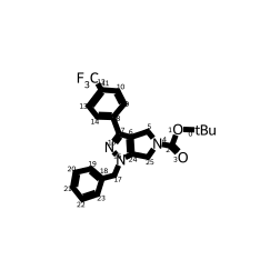 CC(C)(C)OC(=O)N1Cc2c(-c3ccc(C(F)(F)F)cc3)nn(Cc3ccccc3)c2C1